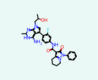 CC(O)Cn1cc(-c2ccc(NC(=O)c3c4n(n(-c5ccccc5)c3=O)CCCC4)cc2F)c2c1=NC(C)NC=2N